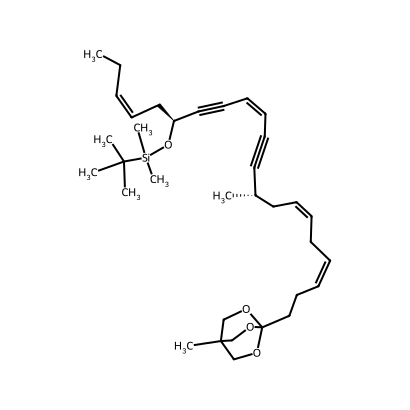 CC/C=C\C[C@@H](C#C/C=C\C#C[C@@H](C)C/C=C\C/C=C\CCC12OCC(C)(CO1)CO2)O[Si](C)(C)C(C)(C)C